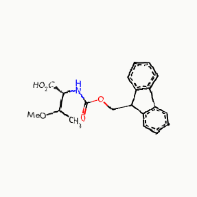 COC(C)[C@H](NC(=O)OCC1c2ccccc2-c2ccccc21)C(=O)O